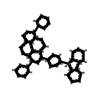 c1ccc(-c2ccc3ccc4c(-c5ccccc5)cc(-c5ccc(-n6c7ccccc7c7ccccc76)cc5)c5ccc2c3c45)cc1